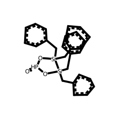 O=[PH]1O[Si](Cc2ccccc2)(Cc2ccccc2)[Si](Cc2ccccc2)(Cc2ccccc2)O1